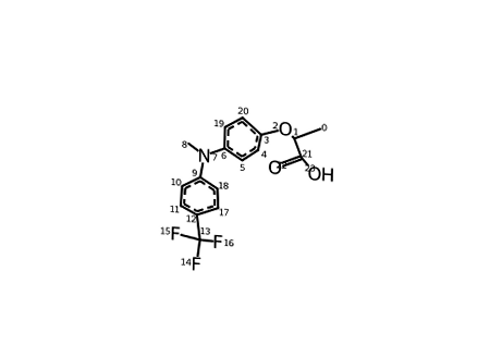 CC(Oc1ccc(N(C)c2ccc(C(F)(F)F)cc2)cc1)C(=O)O